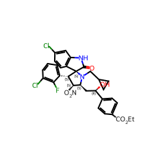 CCOC(=O)c1ccc([C@H](O)C[C@H]2[C@@H]([N+](=O)[O-])[C@H](c3cccc(Cl)c3F)[C@]3(C(=O)Nc4cc(Cl)ccc43)N2CC2CC2)cc1